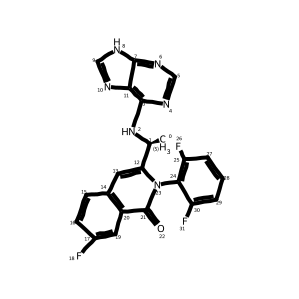 C[C@H](Nc1ncnc2[nH]cnc12)c1cc2ccc(F)cc2c(=O)n1-c1c(F)cccc1F